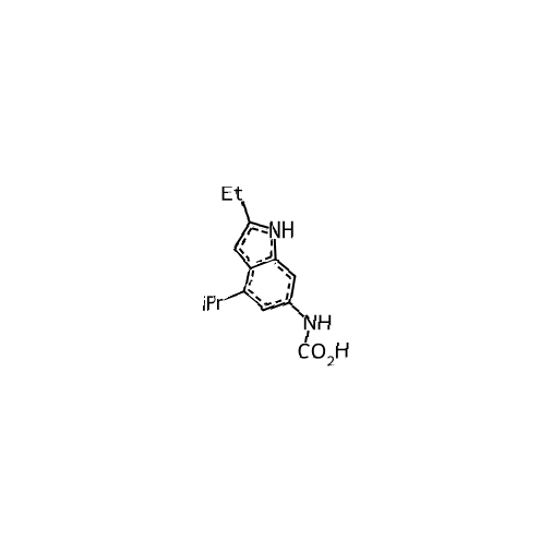 CCc1cc2c(C(C)C)cc(NC(=O)O)cc2[nH]1